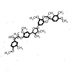 COc1ccc([C@@H](O)[C@@H](C)Oc2ccc(C3O[C@@H](c4ccc(O[C@H](C)[C@H](O)c5ccc(OC)c(C)c5)c(OC)c4)[C@H](C)[C@H]3C)cc2OC)cc1C